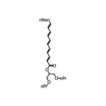 CCCCCCCCC/C=C/C=C/C=C/C=C/C=C/C(=O)OC(COCCC)COCCC